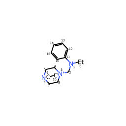 CCN(C[N+]12CCN(CC1)CC2)c1ccccc1